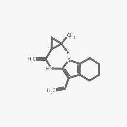 C=Cc1c(NC(=C)C2CC2(C)F)sc2c1CCCC2